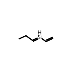 C=C[SiH]=CCC